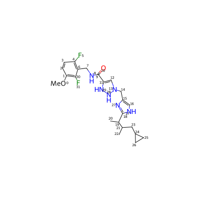 COc1ccc(F)c(CNC(=O)C2=CN(Cc3c[nH]c(C(C)C(C)CC4CC4)n3)NN2)c1F